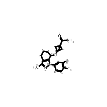 NC(=O)C12CC(OC3CCCc4c(C(F)(F)F)nn(-c5ccc(F)c(Br)c5)c43)(C1)C2